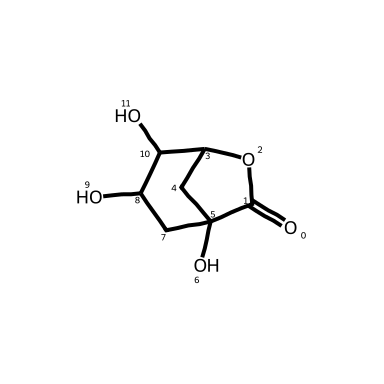 O=C1OC2CC1(O)CC(O)C2O